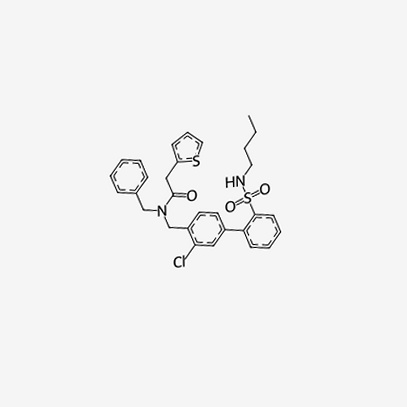 CCCCNS(=O)(=O)c1ccccc1-c1ccc(CN(Cc2ccccc2)C(=O)Cc2cccs2)c(Cl)c1